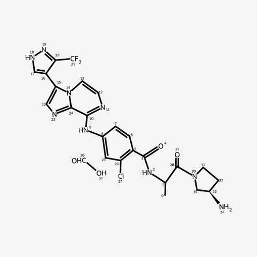 CC(NC(=O)c1ccc(Nc2nccn3c(-c4c[nH]nc4C(F)(F)F)cnc23)cc1Cl)C(=O)N1CC[C@@H](N)C1.O=CO